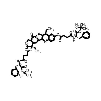 CCc1c2c(nc3ccc(OC(=O)CCC(=O)N[C@@H](Cc4ccccc4)C(=O)OC(C)(C)C)cc13)-c1cc3c(c(=O)n1C2)COC(=O)[C@@]3(CC)OC(=O)CCC(=O)N[C@@H](Cc1ccccc1)C(=O)OC(C)(C)C